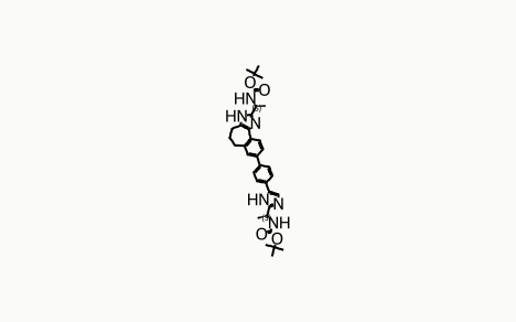 C[C@H](NC(=O)OC(C)(C)C)c1ncc(-c2ccc(-c3ccc4c(c3)CCCc3[nH]c([C@H](C)NC(=O)OC(C)(C)C)nc3-4)cc2)[nH]1